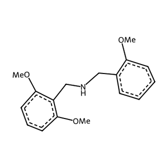 COc1ccccc1CNCc1c(OC)cccc1OC